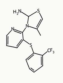 CC1=CSC(N)N1c1ncccc1Sc1ccccc1C(F)(F)F